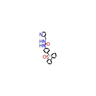 O=C(NCc1cccnc1)Nc1ccc(C[S+]([O-])c2ccccc2-c2ccccc2)cc1